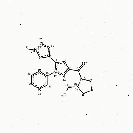 Cn1cc(-c2cc(C(=O)N3CCC[C@H]3CF)nn2-c2cccnc2)cn1